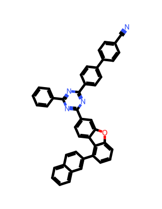 N#Cc1ccc(-c2ccc(-c3nc(-c4ccccc4)nc(-c4ccc5c(c4)oc4cccc(-c6ccc7ccccc7c6)c45)n3)cc2)cc1